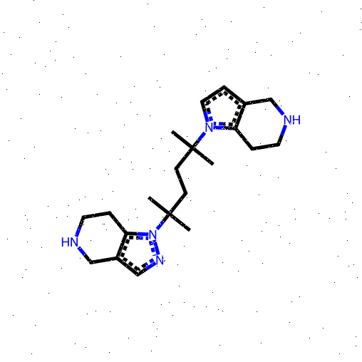 CC(C)(CCC(C)(C)n1ncc2c1CCNC2)n1ccc2c1CCNC2